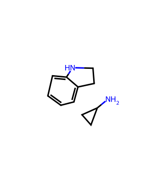 NC1CC1.c1ccc2c(c1)CCN2